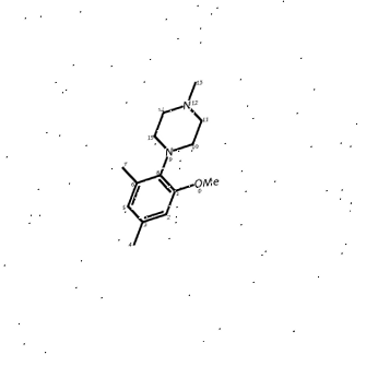 COc1cc(C)cc(C)c1N1CCN(C)CC1